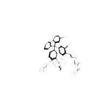 CCCN(C)COCCCc1ccc(C2(c3ccc(OCCCN(C)C)c(C(=O)OCC)c3)c3cc(C)ccc3-c3ccc(C)cc32)cc1C